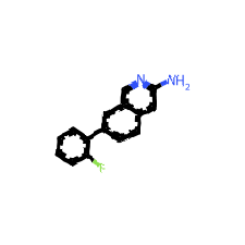 Nc1cc2ccc(-c3ccccc3F)cc2cn1